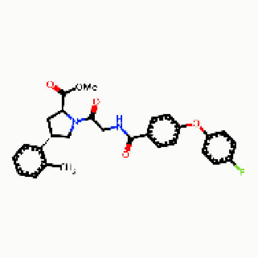 COC(=O)[C@@H]1C[C@@H](c2ccccc2C)CN1C(=O)CNC(=O)c1ccc(Oc2ccc(F)cc2)cc1